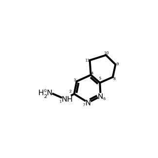 NNc1cc2c(nn1)CCCC2